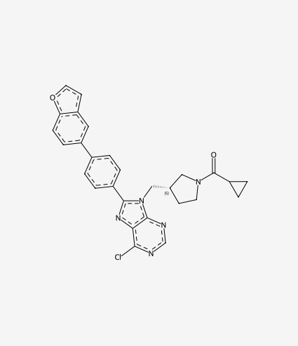 O=C(C1CC1)N1CC[C@H](Cn2c(-c3ccc(-c4ccc5occc5c4)cc3)nc3c(Cl)ncnc32)C1